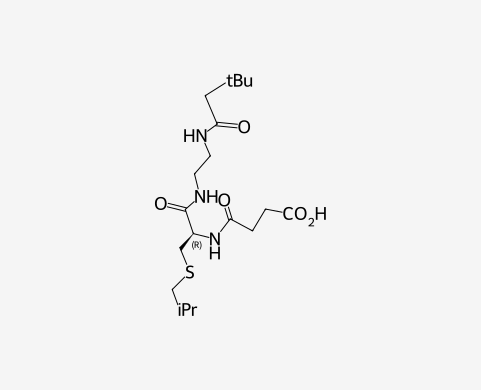 CC(C)CSC[C@H](NC(=O)CCC(=O)O)C(=O)NCCNC(=O)CC(C)(C)C